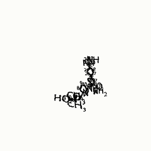 CC(C)(O)COCc1cccc(Nc2sc(-c3ccc(-c4nc[nH]n4)cc3)cc2C(N)=O)n1